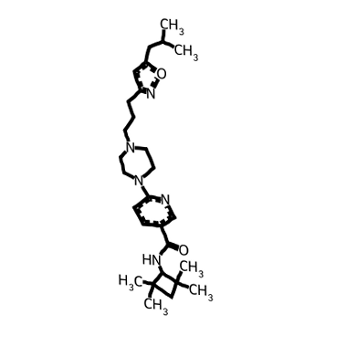 CC(C)Cc1cc(CCCN2CCN(c3ccc(C(=O)NC4C(C)(C)CC4(C)C)cn3)CC2)no1